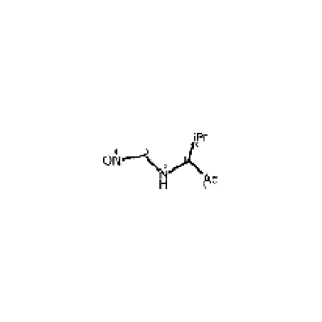 CC(=O)C(NCN=O)C(C)C